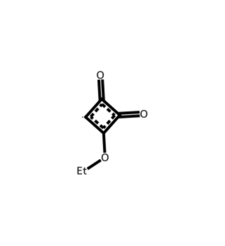 CCOc1[c]c(=O)c1=O